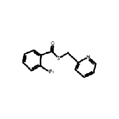 CC(C)c1ccccc1C(=O)SCc1ccccn1